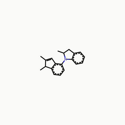 CC1=Cc2c(cccc2N2c3ccccc3CC2C)C1C